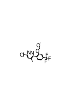 COCOc1cc(C(F)(F)F)ccc1-c1nnc(Cl)cc1C